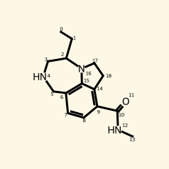 CCC1CNCc2ccc(C(=O)NC)c3c2N1CC3